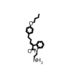 CCCCOc1ccc(CC/C=C2/C(=O)N(CCN)c3ccccc32)cc1